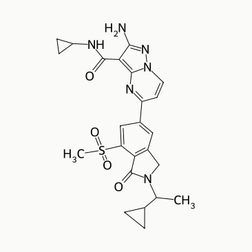 CC(C1CC1)N1Cc2cc(-c3ccn4nc(N)c(C(=O)NC5CC5)c4n3)cc(S(C)(=O)=O)c2C1=O